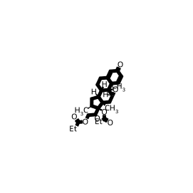 CCC(=O)OCC(=O)[C@]1(OC(=O)CC)[C@H](C)C[C@H]2[C@@H]3CCC4=CC(=O)C=C[C@]4(C)[C@@]34O[C@H]4C[C@@]21C